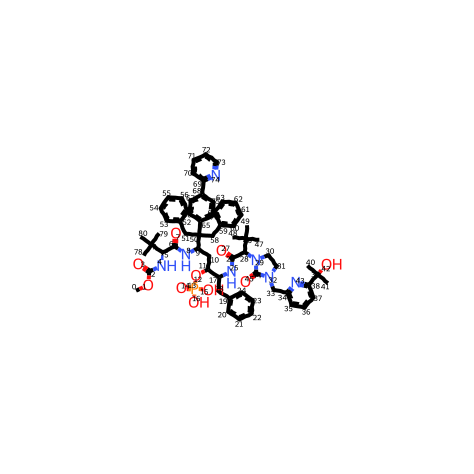 COC(=O)N[C@H](C(=O)NC(CC(OP(=O)(O)O)C(Cc1ccccc1)NC(=O)C(N1CCN(Cc2cccc(C(C)(C)O)n2)C1=O)C(C)(C)C)C(Cc1ccccc1)(Cc1ccccc1)c1ccc(-c2ccccn2)cc1)C(C)(C)C